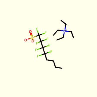 CCCCC(F)(F)C(F)(F)C(F)(F)C(F)(F)S(=O)(=O)[O-].CC[N+](CC)(CC)CC